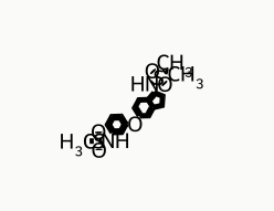 CC(C)S(=O)(=O)NC1=C2CC=C(Oc3cccc(NS(C)(=O)=O)c3)C=C2CC1